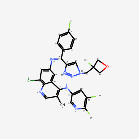 N#Cc1cnc2c(Cl)cc(N[C@@H](c3ccc(F)cc3)c3cn(CC4(F)COC4)nn3)cc2c1Nc1cnc(F)c(F)c1